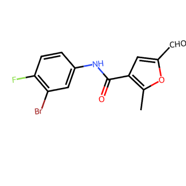 Cc1oc(C=O)cc1C(=O)Nc1ccc(F)c(Br)c1